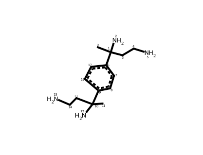 CC(N)(CCN)c1ccc(C(C)(N)CCN)cc1